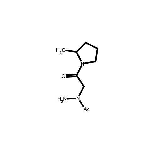 CC(=O)N(N)CC(=O)N1CCCC1C